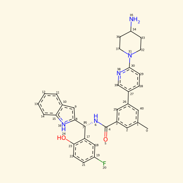 Cc1cc(C(=O)N[C@@H](c2cc3ccccc3[nH]2)c2cc(F)ccc2O)cc(-c2ccc(N3CCC(N)CC3)nc2)c1